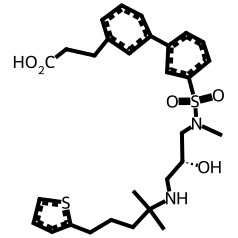 CN(C[C@H](O)CNC(C)(C)CCCc1cccs1)S(=O)(=O)c1cccc(-c2cccc(CCC(=O)O)c2)c1